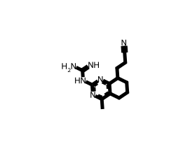 Cc1nc(NC(=N)N)nc2c1CCCC2CCC#N